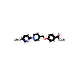 COC(=O)c1ccc(OCC2CCN(c3ccc(OC)cn3)CC2)cc1